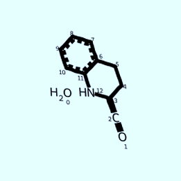 O.O=C=C1CCc2ccccc2N1